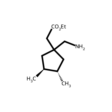 CCOC(=O)CC1(CN)C[C@H](C)[C@@H](C)C1